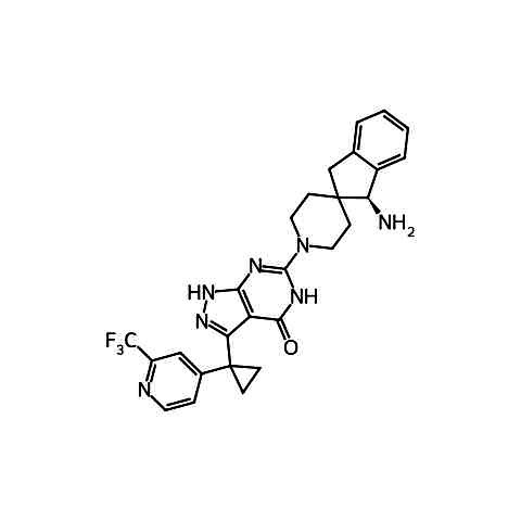 N[C@@H]1c2ccccc2CC12CCN(c1nc3[nH]nc(C4(c5ccnc(C(F)(F)F)c5)CC4)c3c(=O)[nH]1)CC2